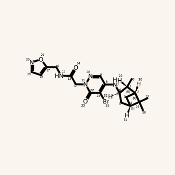 C[C@@H]1[C@H]2C[C@@H](C[C@H]1Nc1cnn(CC(=O)NCc3ccno3)c(=O)c1Br)C2(C)C